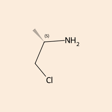 C[C@H](N)CCl